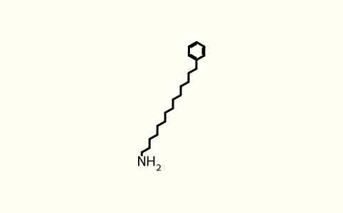 NCCCCCCCCCCCCCCc1ccccc1